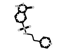 O=c1s[nH]c2ccc(S(=O)(=O)NCCc3ccncc3)cc12